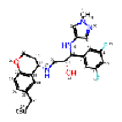 Cn1cc(NC(c2cc(F)cc(F)c2)[C@H](O)CN[C@H]2CCOc3ccc(CC(C)(C)C)cc32)cn1